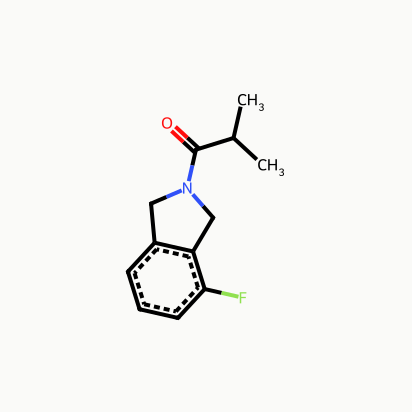 CC(C)C(=O)N1Cc2cccc(F)c2C1